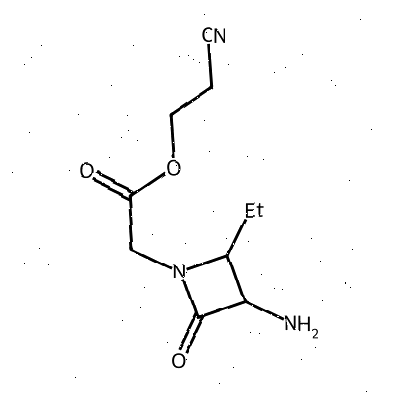 CCC1C(N)C(=O)N1CC(=O)OCCC#N